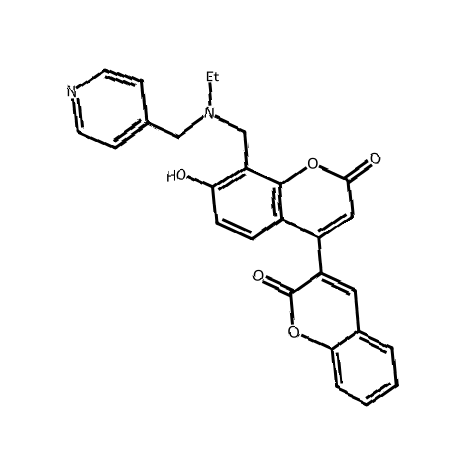 CCN(Cc1ccncc1)Cc1c(O)ccc2c(-c3cc4ccccc4oc3=O)cc(=O)oc12